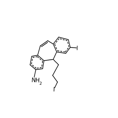 Nc1ccc2c(c1)C(CCCI)c1cc(I)ccc1C=C2